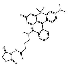 CN(CCCC(=O)ON1C(=O)CCC1=O)C(=O)c1ccccc1C1=C2C=CC(=O)C=C2S(C)(C)c2cc(N(C)C)ccc21